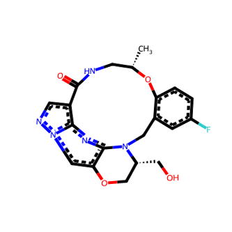 C[C@H]1CNC(=O)c2cnn3cc4c(nc23)N(Cc2cc(F)ccc2O1)[C@H](CO)CO4